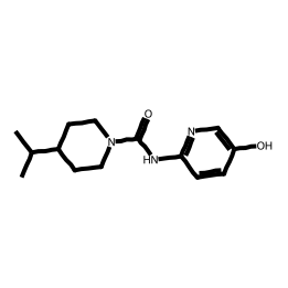 CC(C)C1CCN(C(=O)Nc2ccc(O)cn2)CC1